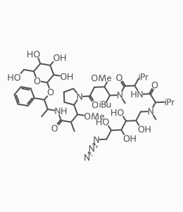 CCC(C)C(C(CC(=O)N1CCCC1C(OC)C(C)C(=O)NC(C)C(OC1OC(CO)C(O)C(O)C1O)c1ccccc1)OC)N(C)C(=O)C(NC(=O)C(C(C)C)N(C)CC(O)C(O)C(O)C(O)CN=[N+]=[N-])C(C)C